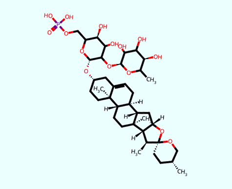 CC1O[C@@H](OC2C(O)[C@H](O)C(COP(=O)(O)O)O[C@H]2O[C@H]2CC[C@@]3(C)C(=CC[C@H]4[C@@H]5C[C@@H]6O[C@]7(CC[C@@H](C)CO7)[C@@H](C)[C@@H]6[C@@]5(C)CC[C@@H]43)C2)C(O)C(O)[C@H]1O